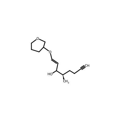 C#CCC[C@@H](C)C(O)C=COC1CCCOC1